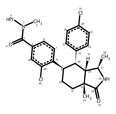 CCCN(C)C(=O)c1ccc([C@@H]2CC[C@@]3(C)C(=O)N[C@H](C)[C@H]3[C@H]2c2ccc(Cl)cc2)c(Cl)c1